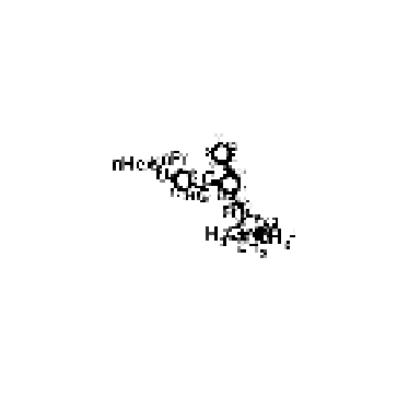 CCCCCCC(CCC)Oc1ccc(C(=O)Oc2cc(C(=O)OC3CC(C)(C)NC(C)(C)C3)ccc2-c2ccccc2)cc1